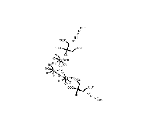 N#[C][Fe-3]([C]#N)([C]#N)([C]#N)([C]#N)[C]#N.N#[C][Fe-3]([C]#N)([C]#N)([C]#N)([C]#N)[C]#N.N#[C][Fe-3]([C]#N)([C]#N)([C]#N)([C]#N)[C]#N.O=C([O-])CC(O)(CC(=O)[O-])C(=O)[O-].O=C([O-])CC(O)(CC(=O)[O-])C(=O)[O-].[Fe+3].[Fe+3].[Fe+3].[K+].[K+].[K+].[N+].[N+].[N+]